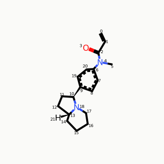 C=CC(=O)N(C)c1ccc([C@@H]2CC[C@H]3CCCCN32)cc1